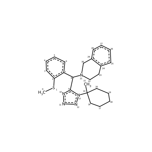 CSc1ccccc1C(c1nnnn1C1(C)CCCCC1)N1CCc2ccccc2C1